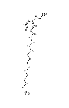 CCCCCCCCCCCCCCCc1cccc(OC=O)c1